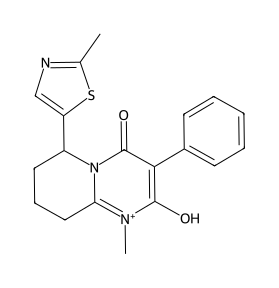 Cc1ncc(C2CCCc3n2c(=O)c(-c2ccccc2)c(O)[n+]3C)s1